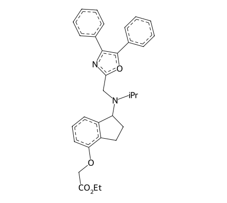 CCOC(=O)COc1cccc2c1CCC2N(Cc1nc(-c2ccccc2)c(-c2ccccc2)o1)C(C)C